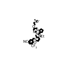 CCN(CC1CCCC1)C1=C(CNc2ncc(OCC[S+](C)[O-])cn2)N(Cc2cc(C#N)cc(C(F)(F)F)c2)C(OC)C=C1